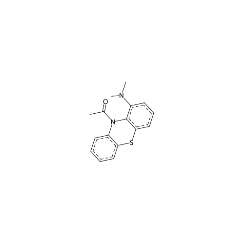 CC(=O)N1c2ccccc2Sc2cccc(N(C)C)c21